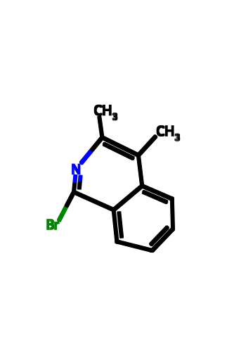 Cc1nc(Br)c2ccccc2c1C